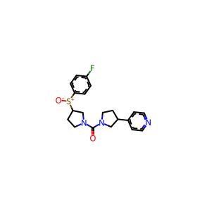 O=C(N1CCC(c2ccncc2)C1)N1CCC([S+]([O-])c2ccc(F)cc2)C1